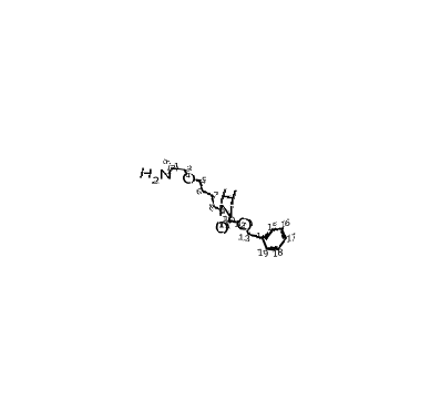 C[C@@H](N)COCCCCNC(=O)OCc1ccccc1